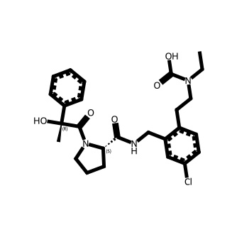 CCN(CCc1ccc(Cl)cc1CNC(=O)[C@@H]1CCCN1C(=O)[C@](C)(O)c1ccccc1)C(=O)O